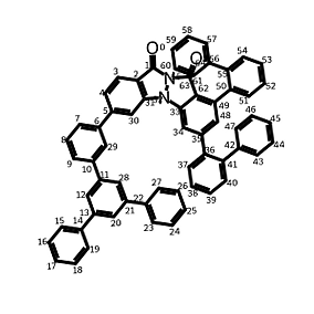 O=c1c2ccc(-c3cccc(-c4cc(-c5ccccc5)cc(-c5ccccc5)c4)c3)cc2n2c3cc(-c4ccccc4-c4ccccc4)cc(-c4ccccc4-c4ccccc4)c3c(=O)n12